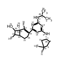 C[C@@H](Nc1nc(N[C@@H]2CCC(F)(F)C2)nc(C2=C(F)[C@@H]3C(O)C(F)C3CC2)n1)C(F)(F)F